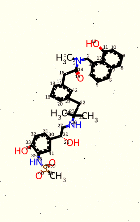 CN(Cc1cccc2cccc(O)c12)C(=O)Cc1cccc(CC(C)(C)NC[C@H](O)c2ccc(O)c(NS(C)(=O)=O)c2)c1